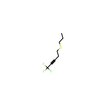 CC[CH]SCCC#CC(F)(F)F